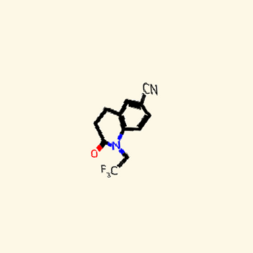 N#Cc1ccc2c(c1)CCC(=O)N2CC(F)(F)F